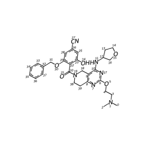 CN(C)CCOc1nc2c(c(NC3CCOC3)n1)CN(C(=O)c1c(O)cc(C#N)cc1OCc1ccccc1)CC2